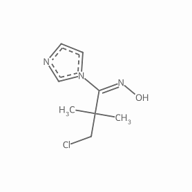 CC(C)(CCl)C(=NO)n1ccnc1